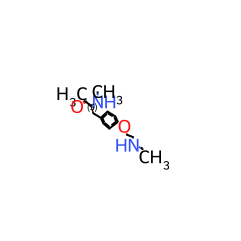 CCNCCOc1ccc(C[C@H](NC)C(C)=O)cc1